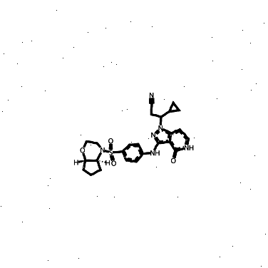 N#CCC(C1CC1)n1nc(Nc2ccc(S(=O)(=O)N3CCO[C@H]4CCC[C@@H]43)cc2)c2c(=O)[nH]ccc21